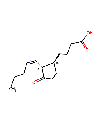 CCC/C=C\[C@H]1C(=O)CC[C@@H]1CCCC(=O)O